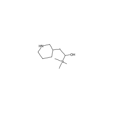 C[Si](C)(C)C(O)[CH]C1CCCNC1